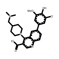 CCC(=O)c1cnc2ccc(-c3cc(Cl)c(O)c(OC)c3)cc2c1N1CCC(CN(C)C)CC1